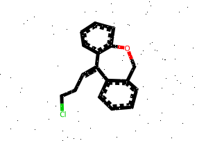 ClCC/C=C1\c2ccccc2COc2ccccc21